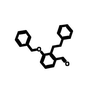 O=Cc1cccc(OCc2ccccc2)c1CCc1ccccc1